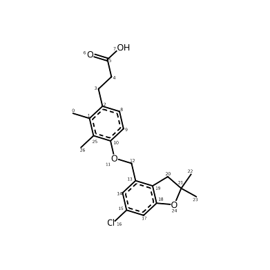 Cc1c(CCC(=O)O)ccc(OCc2cc(Cl)cc3c2CC(C)(C)O3)c1C